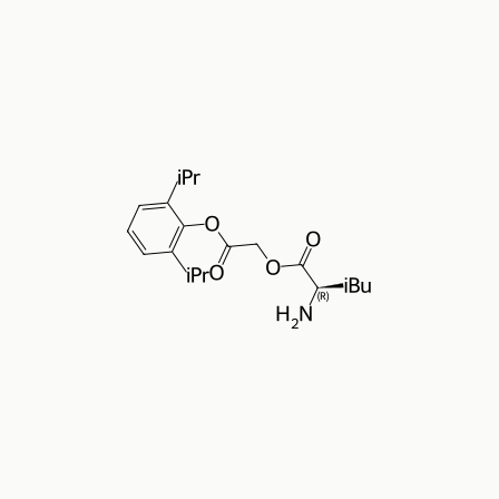 CCC(C)[C@@H](N)C(=O)OCC(=O)Oc1c(C(C)C)cccc1C(C)C